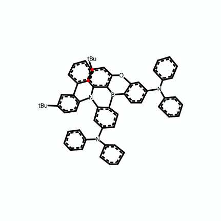 CC(C)(C)c1ccc(N2c3cc(N(c4ccccc4)c4ccccc4)ccc3B3c4ccc(N(c5ccccc5)c5ccccc5)cc4Oc4cc(C(C)(C)C)cc2c43)c(-c2ccccc2)c1